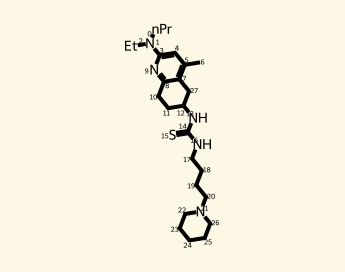 CCCN(CC)c1cc(C)c2c(n1)CCC(NC(=S)NCCCCN1CCCCC1)C2